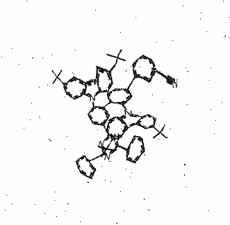 CC(C)(C)c1ccc2c(c1)c1cc(C(C)(C)C)ccc1n2-c1ccc(-c2nc(-c3ccccc3)nc(-c3ccccc3)n2)cc1-c1ccc(-c2cccc(C#N)c2)cc1-n1c2ccc(C(C)(C)C)cc2c2cc(C(C)(C)C)ccc21